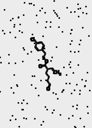 C=CC(CCCC=O)C(=O)OSCc1ccc(Cl)cc1